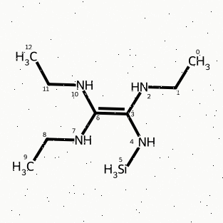 CCNC(N[SiH3])=C(NCC)NCC